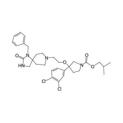 CC(C)COC(=O)N1CCC(OCCN2CCC3(CC2)CNC(=O)N3Cc2ccccc2)(c2ccc(Cl)c(Cl)c2)C1